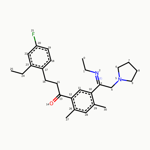 CC/N=C(/CN1CCCC1)c1cc(C(=O)CCc2ccc(F)cc2CC)c(C)cc1C